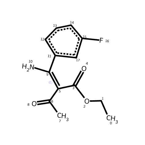 CCOC(=O)/C(C(C)=O)=C(/N)c1cccc(F)c1